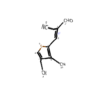 N#C/C(C=O)=C\c1scc(C#N)c1C#N